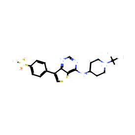 CC(C)(C)N1CCC(Nc2ncnc3c(-c4ccc(S(C)(=O)=O)cc4)csc23)CC1